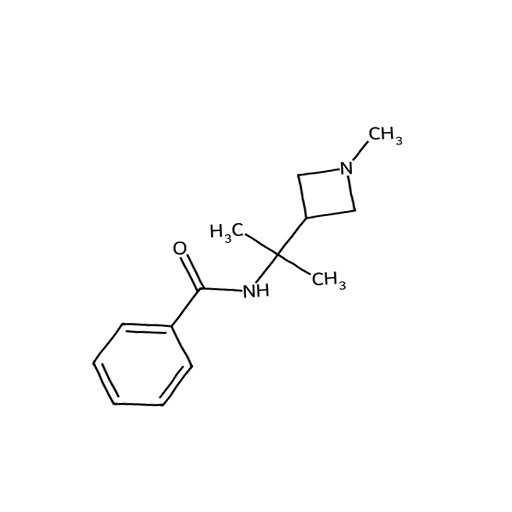 CN1CC(C(C)(C)NC(=O)c2ccccc2)C1